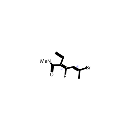 C=C/C(C(=O)NC)=C(F)\C=C(/C)Br